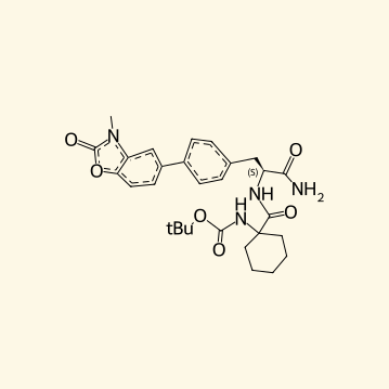 Cn1c(=O)oc2ccc(-c3ccc(C[C@H](NC(=O)C4(NC(=O)OC(C)(C)C)CCCCC4)C(N)=O)cc3)cc21